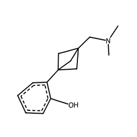 CN(C)CC12CC(c3ccccc3O)(C1)C2